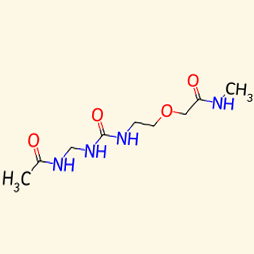 CNC(=O)COCCNC(=O)NCNC(C)=O